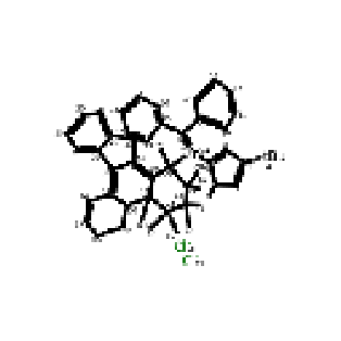 CC1C=C(C(C)(C)C)C=[C]1[Zr+2](=[C](c1ccccc1)c1ccccc1)[C]1(C)C2=C3Cc4ccccc4C3=C3C=CCCC3C2(C)C(C)(C)C(C)(C)C1(C)C.[Cl-].[Cl-]